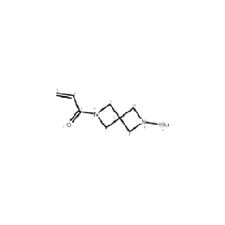 C=CC(=O)N1CC2(C1)CN(C(C)(C)C)C2